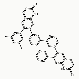 Cc1cc(-c2cc3ccc(=O)[nH]c3nc2-c2cccc(-c3cc(-c4cc5ccc(=O)[nH]c5nc4-c4ccccc4)ccn3)c2)cc(C)n1